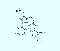 CCn1ncc2c(NC3CCOCC3)c(CN3CCN(C)C3=O)cnc21